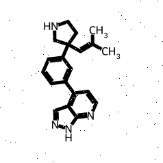 CC(C)=CC1(c2cccc(-c3ccnc4[nH]ncc34)c2)CCNC1